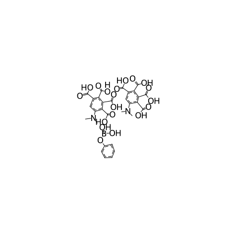 CN(C)c1cc(C(=O)O)c(C(=O)O)c(C(=O)O)c1C(=O)O.CN(C)c1cc(C(=O)O)c(C(=O)O)c(C(=O)O)c1C(=O)O.OB(O)Oc1ccccc1